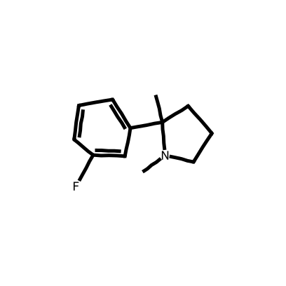 CN1CCCC1(C)c1cccc(F)c1